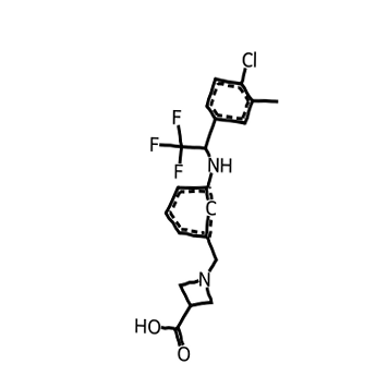 Cc1cc(C(Nc2cccc(CN3CC(C(=O)O)C3)c2)C(F)(F)F)ccc1Cl